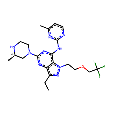 CCc1nn(CCOCC(F)(F)F)c2c(Nc3nccc(C)n3)nc(N3CCN[C@H](C)C3)nc12